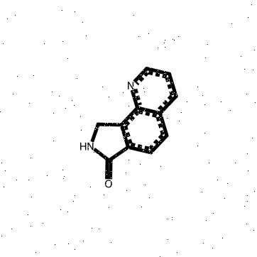 O=C1NCc2c1ccc1cccnc21